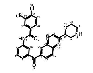 O=C(Nc1cccc(C(=O)c2ccc3nc(C4CNCCO4)cnc3c2)c1)c1ccc(Cl)c(Cl)c1